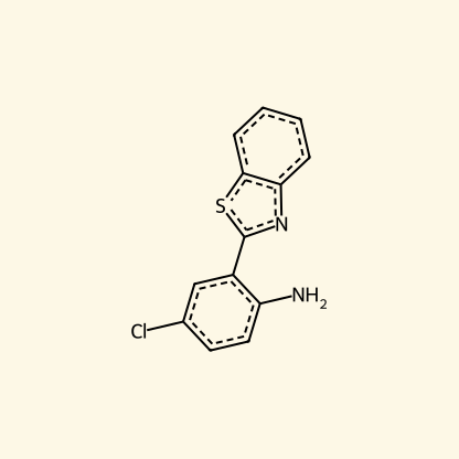 Nc1ccc(Cl)cc1-c1nc2ccccc2s1